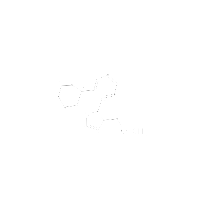 COCC1C=CSC1c1ccccc1C1CCCCC1